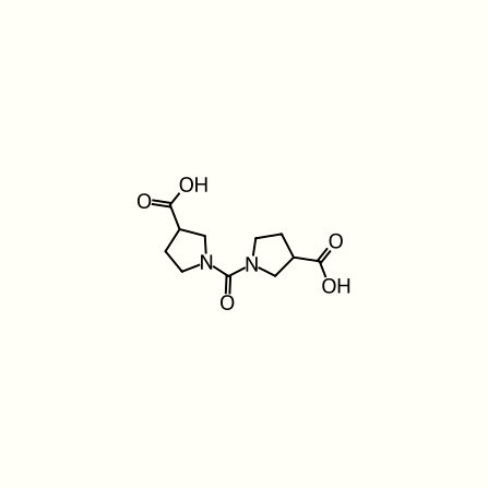 O=C(O)C1CCN(C(=O)N2CCC(C(=O)O)C2)C1